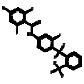 O=C(Nc1ccc(C(F)(F)c2ccccc2C(F)(F)F)c(F)c1)c1c(F)cc(F)cc1F